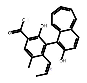 C/C=C\c1c(C)cc(C(=O)O)c(O)c1-c1c(O)ccc2c1=CC=C=CC=2